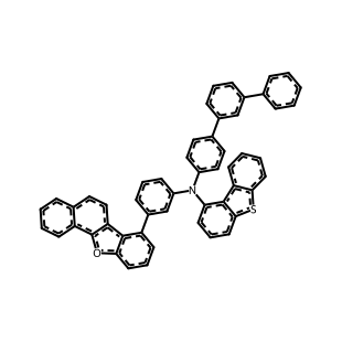 c1ccc(-c2cccc(-c3ccc(N(c4cccc(-c5cccc6oc7c8ccccc8ccc7c56)c4)c4cccc5sc6ccccc6c45)cc3)c2)cc1